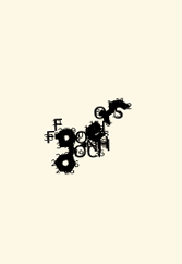 O=C(N[C@H]1C[N+]2(CC(=O)c3cccs3)CCC1CC2)OC(c1ccccc1)c1ccc(F)c(F)c1.[Cl-]